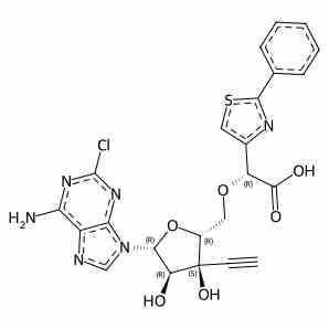 C#C[C@@]1(O)[C@@H](CO[C@@H](C(=O)O)c2csc(-c3ccccc3)n2)O[C@@H](n2cnc3c(N)nc(Cl)nc32)[C@@H]1O